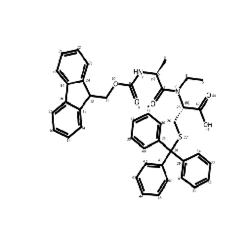 CCN(C(=O)[C@H](C)NC(=O)OCC1c2ccccc2-c2ccccc21)[C@@H](CSC(c1ccccc1)(c1ccccc1)c1ccccc1)C(=O)O